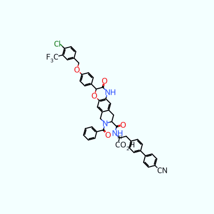 N#Cc1ccc(-c2ccc(C[C@H](NC(=O)C3Cc4cc5c(cc4CN3C(=O)c3ccccc3)OC(c3ccc(OCc4ccc(Cl)c(C(F)(F)F)c4)cc3)C(=O)N5)C(=O)O)cc2)cc1